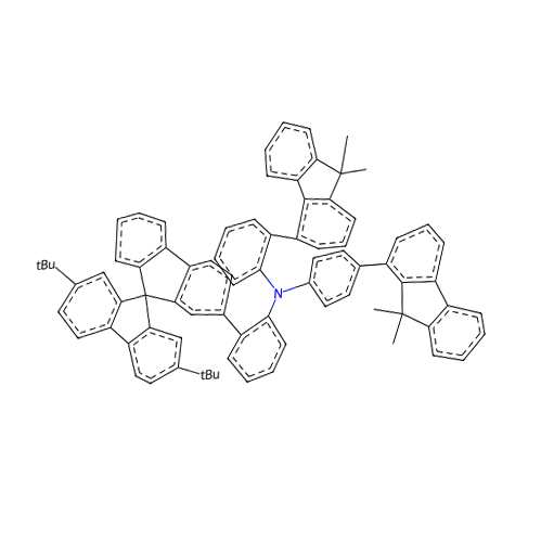 CC(C)(C)c1ccc2c(c1)C1(c3ccccc3-c3ccc(-c4ccccc4N(c4ccc(-c5cccc6c5C(C)(C)c5ccccc5-6)cc4)c4ccccc4-c4cccc5c4-c4ccccc4C5(C)C)cc31)c1cc(C(C)(C)C)ccc1-2